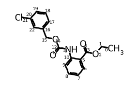 CCOC(=O)c1ccccc1NC(=O)OCc1cccc(Cl)c1